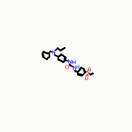 CCCN(Cc1ccccc1)Cc1ccc(NC(=O)NCc2ccc(S(=O)(=O)CC)cc2)cc1